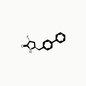 O=C1N[C@H](Cc2ccc(-c3ccccc3)cc2)C[C@H]1F